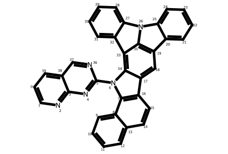 c1cnc2nc(-n3c4c5ccccc5ccc4c4cc5c6ccccc6n6c7ccccc7c(c43)c56)ncc2c1